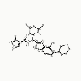 Cc1nocc1C(=O)NC(c1nc2c(F)c(C3CCOCC3)ccc2[nH]1)C1CC(C)CC(C)C1